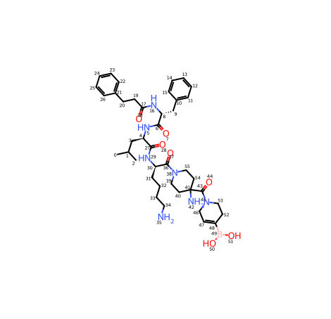 CC(C)C[C@@H](NC(=O)[C@@H](Cc1ccccc1)NC(=O)CCc1ccccc1)C(=O)N[C@H](CCCCN)C(=O)N1CCC(N)(C(=O)N2CC=C(B(O)O)CC2)CC1